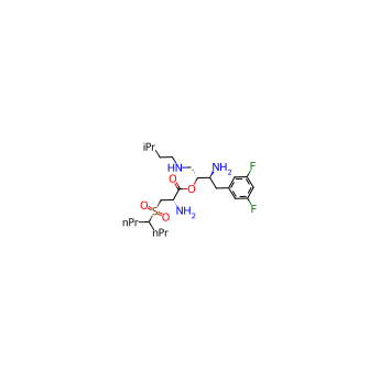 CCCC(CCC)S(=O)(=O)C[C@@H](N)C(=O)O[C@H](CNCCC(C)C)[C@@H](N)Cc1cc(F)cc(F)c1